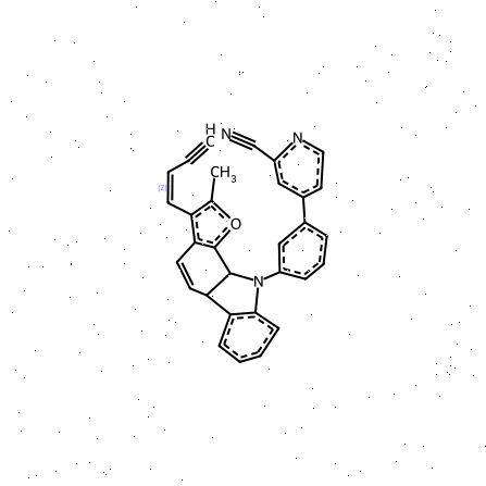 C#C/C=C\c1c(C)oc2c1C=CC1c3ccccc3N(c3cccc(-c4ccnc(C#N)c4)c3)C21